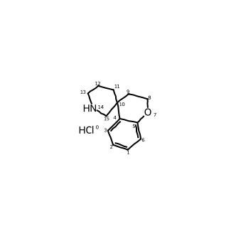 Cl.c1ccc2c(c1)OCCC21CCCNC1